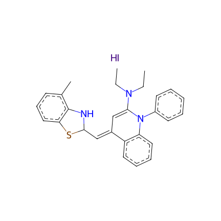 CCN(CC)C1=CC(=CC2Nc3c(C)cccc3S2)c2ccccc2N1c1ccccc1.I